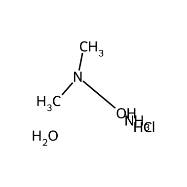 CN(C)O.Cl.N.O